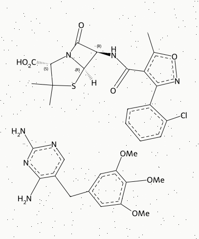 COc1cc(Cc2cnc(N)nc2N)cc(OC)c1OC.Cc1onc(-c2ccccc2Cl)c1C(=O)N[C@@H]1C(=O)N2[C@@H]1SC(C)(C)[C@@H]2C(=O)O